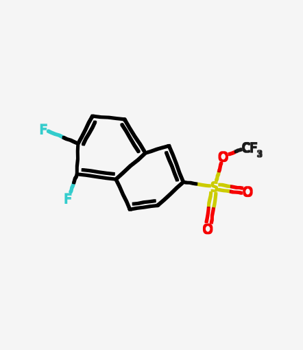 O=S(=O)(OC(F)(F)F)c1ccc2c(F)c(F)ccc2c1